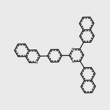 c1ccc2cc(-c3cc(-c4ccc5ccccc5c4)nc(-c4ccc(-c5cc6ccccc6cn5)cc4)n3)ccc2c1